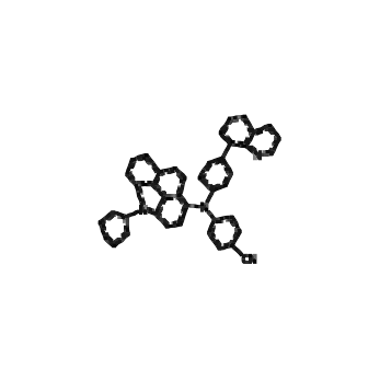 N#Cc1ccc(N(c2ccc(-c3cccc4cccnc34)cc2)c2ccc3c4c2ccc2cccc(c24)n3-c2ccccc2)cc1